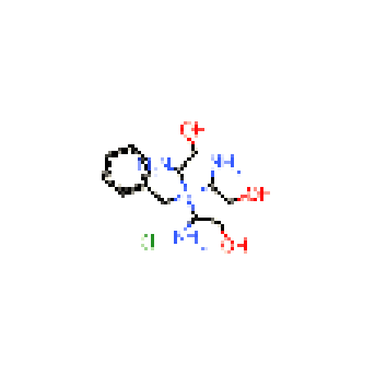 NC(CO)[N+](Cc1ccccc1)(C(N)CO)C(N)CO.[Cl-]